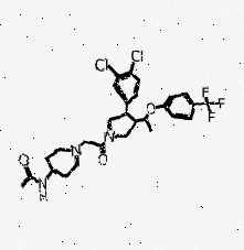 CC(=O)NC1CCN(CC(=O)N2CC(c3ccc(Cl)c(Cl)c3)C(C(C)Oc3ccc(C(F)(F)F)cc3)C2)CC1